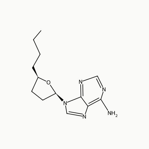 CCCC[C@@H]1CC[C@H](n2cnc3c(N)ncnc32)O1